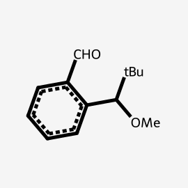 COC(c1ccccc1C=O)C(C)(C)C